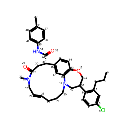 CCCc1cc(Cl)ccc1C1COc2ccc3cc2N(CCC/C=C/CN(C)C(=O)C[C@@H]3C(=O)Nc2ccc(C)cc2)C1